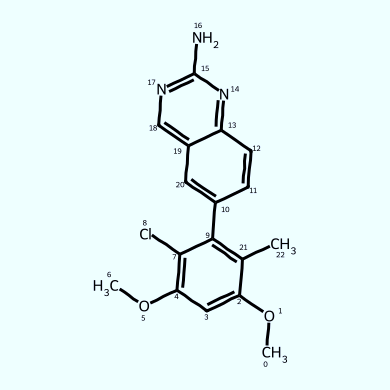 COc1cc(OC)c(Cl)c(-c2ccc3nc(N)ncc3c2)c1C